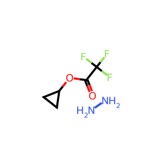 NN.O=C(OC1CC1)C(F)(F)F